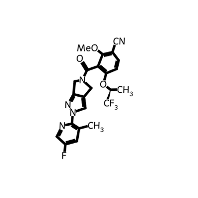 COc1c(C#N)ccc(O[C@@H](C)C(F)(F)F)c1C(=O)N1Cc2cn(-c3ncc(F)cc3C)nc2C1